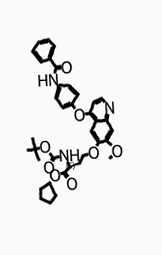 COc1cc2nccc(Oc3ccc(NC(=O)c4ccccc4)cc3)c2cc1OCC[C@H](NC(=O)OC(C)(C)C)C(=O)OC1CCCC1